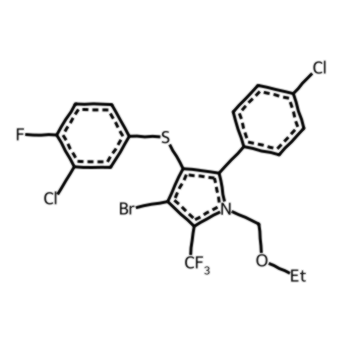 CCOCn1c(-c2ccc(Cl)cc2)c(Sc2ccc(F)c(Cl)c2)c(Br)c1C(F)(F)F